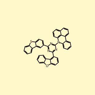 c1ccc2c(c1)-c1cccc3cccc(c13)N2c1nc(-c2ccc3sc4ccccc4c3c2)nc(-c2cccc3oc4ccccc4c23)n1